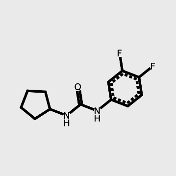 O=C(Nc1ccc(F)c(F)c1)NC1CCCC1